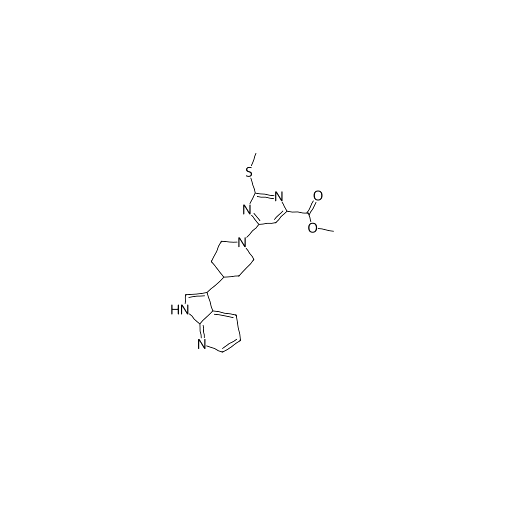 COC(=O)c1cc(N2CCC(c3c[nH]c4ncccc34)CC2)nc(SC)n1